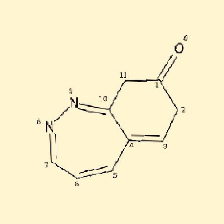 O=C1CC=C2C=CC=NN=C2C1